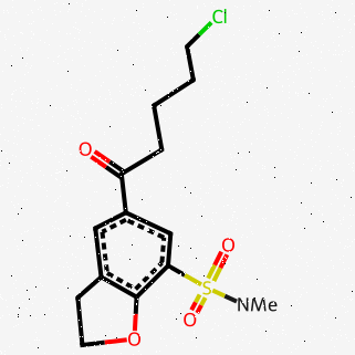 CNS(=O)(=O)c1cc(C(=O)CCCCCl)cc2c1OCC2